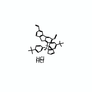 C=Cc1ccc2c(c1)-c1cc(C=C)c[c]([Zr](=[CH2])([C]3=CC=CC3)([c]3ccc(C(C)(C)C)cc3)[c]3ccc(C(C)(C)C)cc3)c1C2.Cl.Cl